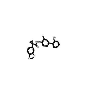 Cc1cc(-c2ccccc2C(C)C)ccc1NC(=O)C1(c2ccc3c(c2)OCO3)CC1